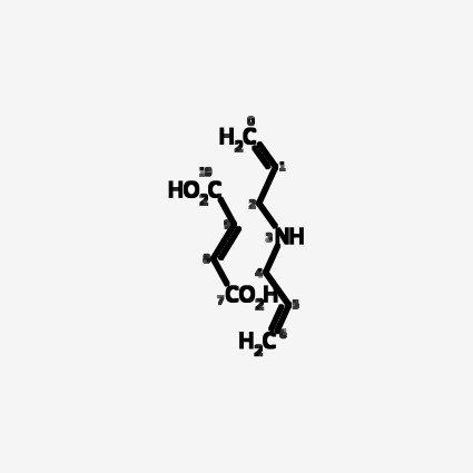 C=CCNCC=C.O=C(O)C=CC(=O)O